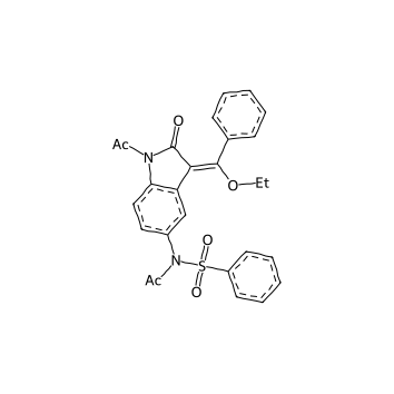 CCO/C(=C1/C(=O)N(C(C)=O)c2ccc(N(C(C)=O)S(=O)(=O)c3ccccc3)cc21)c1ccccc1